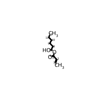 C/C=C/C(=O)O[C@H](O)CCCCC